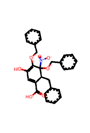 O=C(O)C1=CC(O)=C(OCc2ccccc2)C(OCc2ccccc2)([N+](=O)[O-])C1Cc1ccccc1